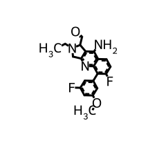 CCN1Cc2nc3c(-c4cc(F)cc(OC)c4)c(F)ccc3c(N)c2C1C=O